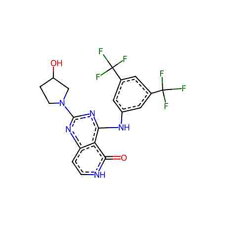 O=c1[nH]ccc2nc(N3CCC(O)C3)nc(Nc3cc(C(F)(F)F)cc(C(F)(F)F)c3)c12